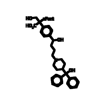 CCCCCC(CO)(C(=O)O)c1ccc(C(O)CCCN2CCC(C(O)(c3ccccc3)c3ccccc3)CC2)cc1